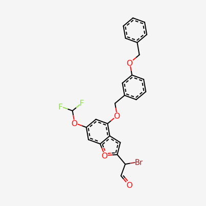 O=CC(Br)c1cc2c(OCc3cccc(OCc4ccccc4)c3)cc(OC(F)F)cc2o1